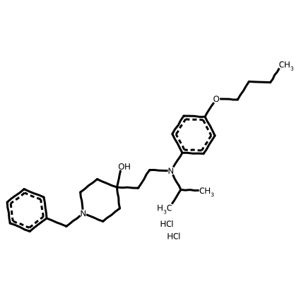 CCCCOc1ccc(N(CCC2(O)CCN(Cc3ccccc3)CC2)C(C)C)cc1.Cl.Cl